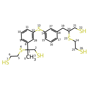 CC(CS)(SCCS)c1cccc(Sc2cccc(CC(CS)SCCS)c2)c1